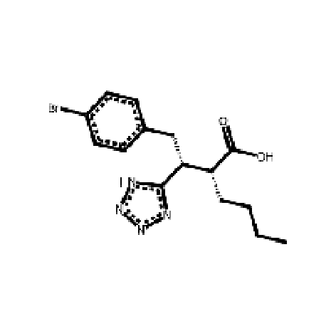 CCCC[C@@H](C(=O)O)[C@@H](Cc1ccc(Br)cc1)c1nnn[nH]1